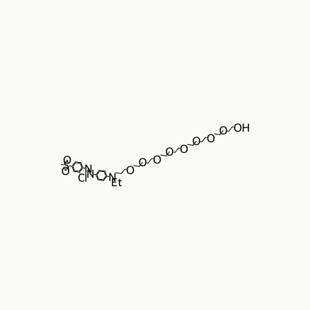 CCN(CCCOCCOCCOCCOCCOCCOCCOCCOCCO)c1ccc(N=Nc2ccc(S(C)(=O)=O)cc2Cl)cc1